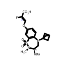 CCCC[C@@H]1CN(C23CC(C2)C3)c2ccc(O/C=C(\F)C(=O)O)cc2S(=O)(=O)N1C